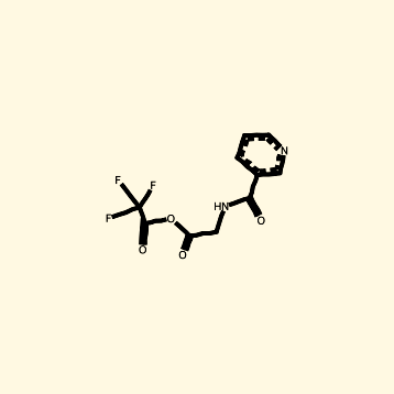 O=C(CNC(=O)c1cccnc1)OC(=O)C(F)(F)F